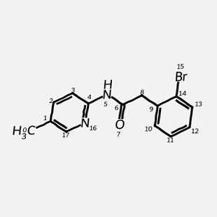 Cc1ccc(NC(=O)Cc2ccccc2Br)nc1